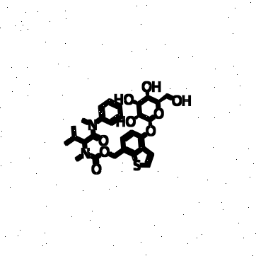 CC(C)C(C(=O)N(C)c1ccccc1)N(C)C(=O)OCc1ccc(O[C@@H]2O[C@H](CO)[C@H](O)[C@H](O)[C@H]2O)c2ccsc12